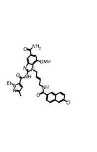 CCn1nc(C)cc1C(=O)Nc1nc2cc(C(N)=O)cc(OC)c2n1C/C=C/CNC(=O)c1ccc2cc(Cl)ccc2c1